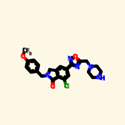 O=C1c2c(Cl)cc(-c3noc(CN4CCNCC4)n3)cc2CN1Cc1ccc(OC(F)(F)F)cc1